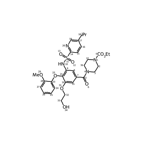 CCOC(=O)N1CCN(C(=O)c2cc(NS(=O)(=O)c3ccc(C(C)C)cn3)c(Oc3ccccc3OC)c(OCCO)c2)CC1